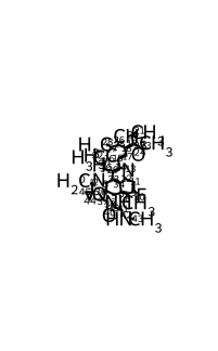 C=C(NC1CCc2c(C)c(F)cc3nc(/C(C)=C/C(=C(/CC)C(C)=O)C(C)CC)c(CCC)c1c23)C1(OCNC(=O)CNC)CC1